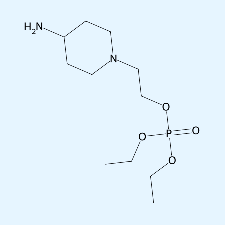 CCOP(=O)(OCC)OCCN1CCC(N)CC1